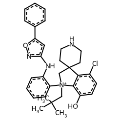 CC(C)(C)C[N+]1(c2ccccc2Nc2cc(-c3ccccc3)on2)CC2(CCNCC2)c2c(Cl)ccc(O)c21